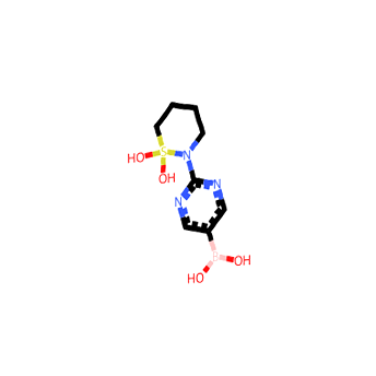 OB(O)c1cnc(N2CCCCS2(O)O)nc1